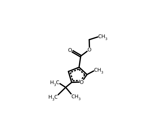 CCOC(=O)c1cc(C(C)(C)C)oc1C